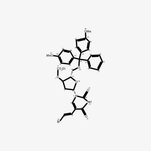 CCOC(=O)OC1C[C@@H](n2cc(C=CBr)c(=O)[nH]c2=O)O[C@H]1COC(c1ccccc1)(c1ccc(OC)cc1)c1ccc(OC)cc1